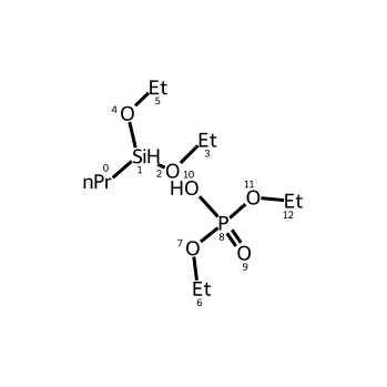 CCC[SiH](OCC)OCC.CCOP(=O)(O)OCC